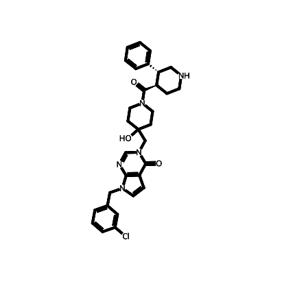 O=C([C@@H]1CCNC[C@H]1c1ccccc1)N1CCC(O)(Cn2cnc3c(ccn3Cc3cccc(Cl)c3)c2=O)CC1